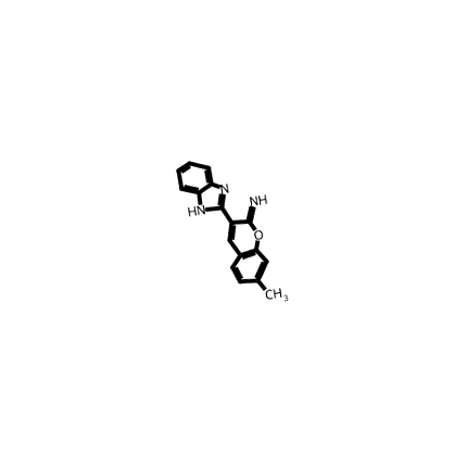 Cc1ccc2cc(-c3nc4ccccc4[nH]3)c(=N)oc2c1